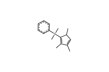 CC1=CC(C)C([Si](C)(C)c2ccccc2)=C1C